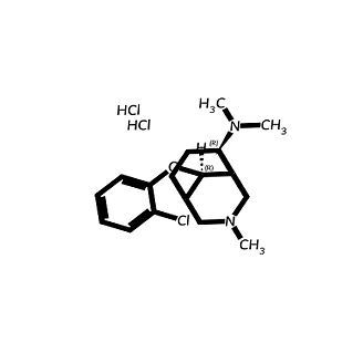 CN1CC2CC[C@@H](N(C)C)C(C1)[C@@H]2Oc1ccccc1Cl.Cl.Cl